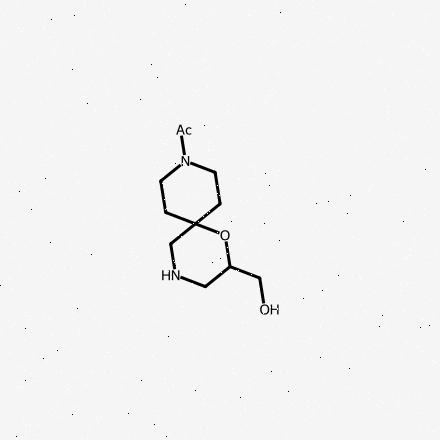 CC(=O)N1CCC2(CC1)CNCC(CO)O2